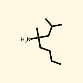 CCCCC(C)(N)CC(C)C